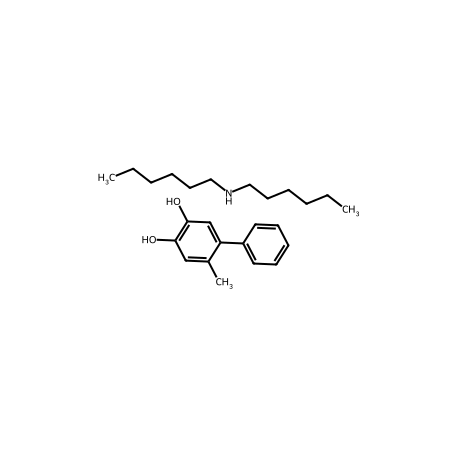 CCCCCCNCCCCCC.Cc1cc(O)c(O)cc1-c1ccccc1